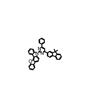 CC1(C)c2ccccc2-c2ccc(-c3cc(-c4ccccc4)nc(-n4c5ccccc5c5c6oc7ccccc7c6ccc54)n3)cc21